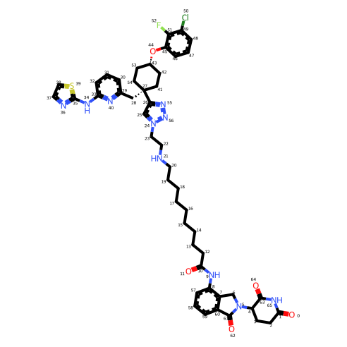 O=C1CCC(N2Cc3c(NC(=O)CCCCCCCCCNCCn4cc([C@]5(Cc6cccc(Nc7nccs7)n6)CC[C@@H](Oc6cccc(Cl)c6F)CC5)nn4)cccc3C2=O)C(=O)N1